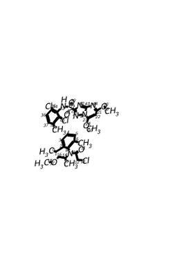 CCc1cccc(C)c1N(C(=O)CCl)C(C)COC.COc1cc(OC)n2nc(S(=O)(=O)Nc3c(Cl)ccc(C)c3Cl)nc2n1